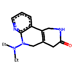 CCN(CC)N1CC2=C(CNC(=O)C2)c2cccnc21